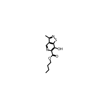 CCCCOC(=O)c1ncc2c(C)nsc2c1O